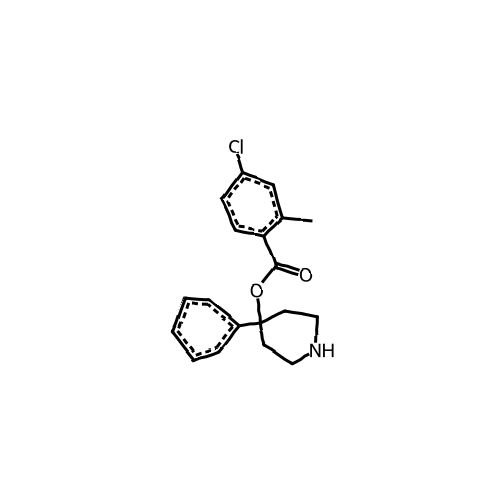 Cc1cc(Cl)ccc1C(=O)OC1(c2ccccc2)CCNCC1